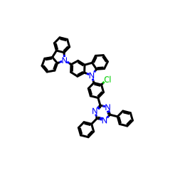 Clc1cc(-c2nc(-c3ccccc3)nc(-c3ccccc3)n2)ccc1-n1c2ccccc2c2cc(-n3c4ccccc4c4ccccc43)ccc21